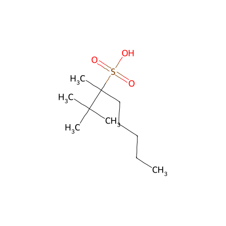 CCCCCC(C)(C(C)(C)C)S(=O)(=O)O